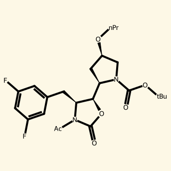 CCCO[C@@H]1C[C@H]([C@H]2OC(=O)N(C(C)=O)[C@H]2Cc2cc(F)cc(F)c2)N(C(=O)OC(C)(C)C)C1